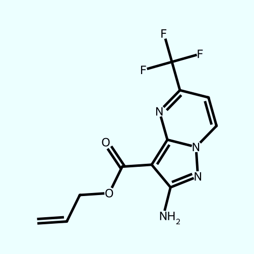 C=CCOC(=O)c1c(N)nn2ccc(C(F)(F)F)nc12